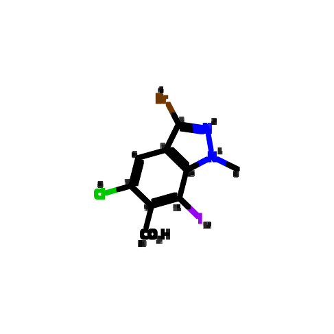 Cn1nc(Br)c2cc(Cl)c(C(=O)O)c(I)c21